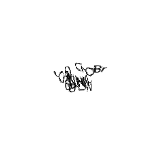 C=Cc1ccc(S(=O)(=O)NC(=O)c2ccc3nc(C)n(Cc4ccc(Br)cc4Cl)c3n2)cc1